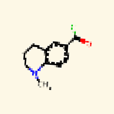 CN1CCCc2cc(C(=O)Cl)ccc21